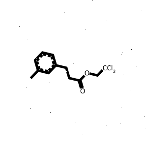 Cc1cccc(CCC(=O)OCC(Cl)(Cl)Cl)c1